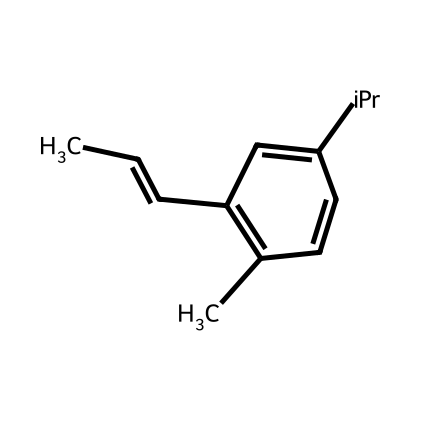 CC=Cc1cc(C(C)C)ccc1C